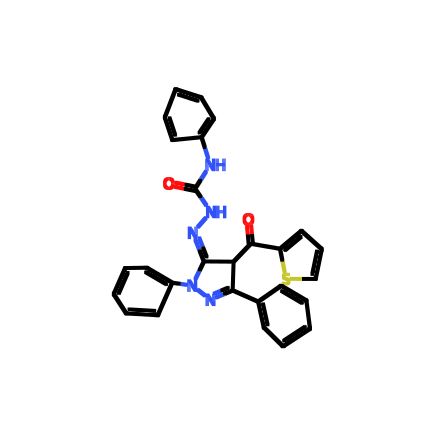 O=C(NN=C1C(C(=O)c2cccs2)C(c2ccccc2)=NN1c1ccccc1)Nc1ccccc1